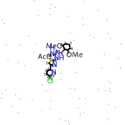 COc1cccc(OC)c1CN=C(NOC(C)=O)Nc1nc(-c2ccc(Cl)cn2)cs1